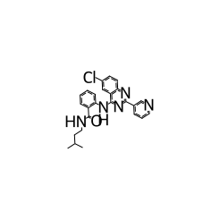 CC(C)CCNC(=O)c1ccccc1Nc1nc(-c2cccnc2)nc2ccc(Cl)cc12